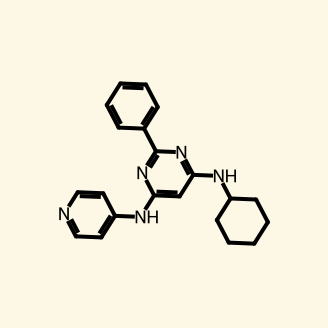 c1ccc(-c2nc(Nc3ccncc3)cc(NC3CCCCC3)n2)cc1